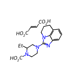 CCC1CN(c2nc3cccc4c3n2CCC4)CCN1C(=O)O.O=C(O)C=CC(=O)O